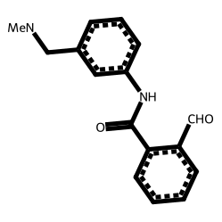 CNCc1cccc(NC(=O)c2ccccc2C=O)c1